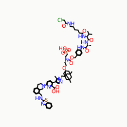 Cc1c(-c2ccc(N3CCc4cccc(CNc5nc6ccccc6s5)c4C3)nc2C(=O)O)cnn1CC12CC3(C)CC(C)(C1)CC(OCCN(CCS(=O)(=O)O)C(=O)OCc1ccc(NC(=O)[C@H](C)NC(=O)[C@@H](NC(=O)CCCCCNC(=O)CCl)C(C)C)cc1)(C3)C2